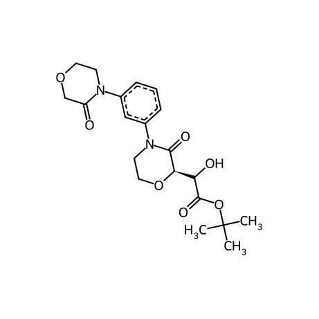 CC(C)(C)OC(=O)C(O)[C@H]1OCCN(c2cccc(N3CCOCC3=O)c2)C1=O